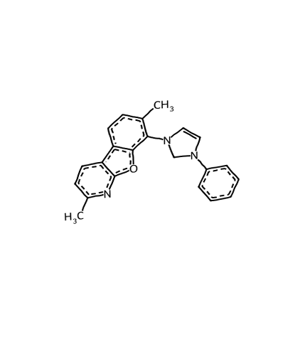 Cc1ccc2c(n1)oc1c(N3C=CN(c4ccccc4)C3)c(C)ccc12